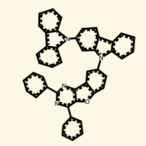 c1ccc(-c2nc(-c3ccccc3)c3oc4ccc(-n5c6ccccc6c6ccc(-n7c8ccccc8c8ccccc87)cc65)cc4c3n2)cc1